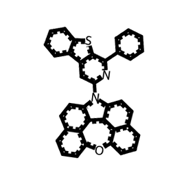 c1ccc(-c2nc(-n3c4ccc5cccc6oc7cccc8ccc3c(c87)c4c56)cc3c2sc2ccccc23)cc1